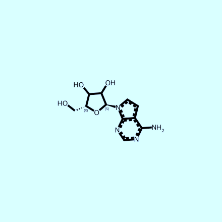 Nc1ncnc2c1ccn2[C@H]1O[C@H](CO)C(O)C1O